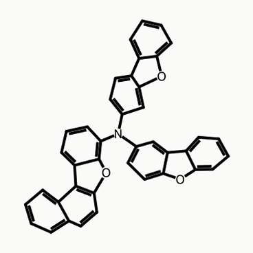 c1ccc2c(c1)ccc1oc3c(N(c4ccc5c(c4)oc4ccccc45)c4ccc5oc6ccccc6c5c4)cccc3c12